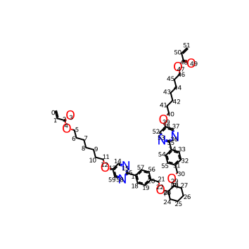 C=CC(=O)OCCCCCCCOc1cnc(-c2ccc(CO[C@@H]3CCCC[C@H]3OCc3ccc(-c4ncc(OCCCCCCCOC(=O)C=C)cn4)cc3)cc2)nc1